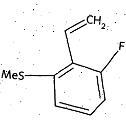 C=Cc1c(F)cccc1SC